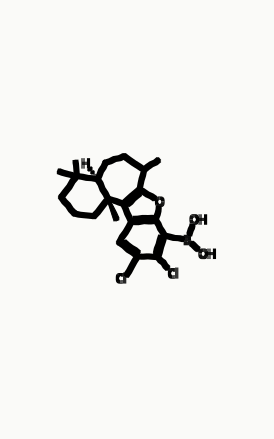 CC1CC[C@@H]2C(C)(C)CCC[C@@]2(C)c2c1oc1c(B(O)O)c(Cl)c(Cl)cc21